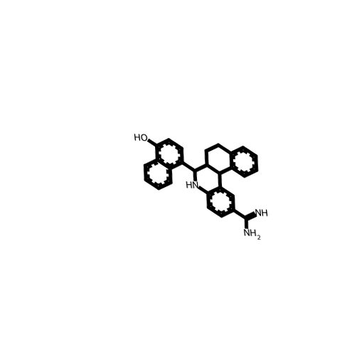 N=C(N)c1ccc2c(c1)C1c3ccccc3CCC1C(c1ccc(O)c3ccccc13)N2